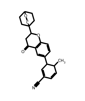 CC1C=CC(C#N)=CC1c1ccc2c(c1)C(=O)CC(C13CCC(CC1)OC3)O2